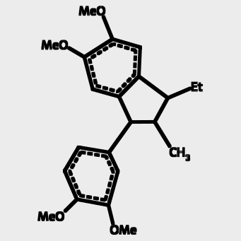 CCC1c2cc(OC)c(OC)cc2C(c2ccc(OC)c(OC)c2)C1C